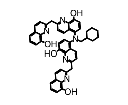 Oc1cccc2ccc(Cc3ccc4c(N(CC5CCCCC5)c5ccc(O)c6nc(Cc7ccc8cccc(O)c8n7)ccc56)ccc(O)c4n3)nc12